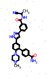 CC(C#N)NC(=O)c1cccc(-c2cc(-c3ccc(N4CCN(C)CC4)c(-c4ccc(C(N)=O)cc4)c3)[nH]n2)c1